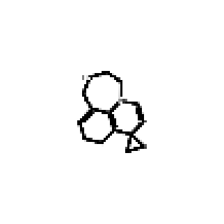 C1=CC2(CC2)C2=C3C(=CCC2)CNCCN13